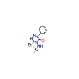 CCc1nnc(-c2ccccc2)c(=O)n1N[Si](C)(C)C